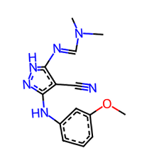 COc1cccc(Nc2n[nH]c(N=CN(C)C)c2C#N)c1